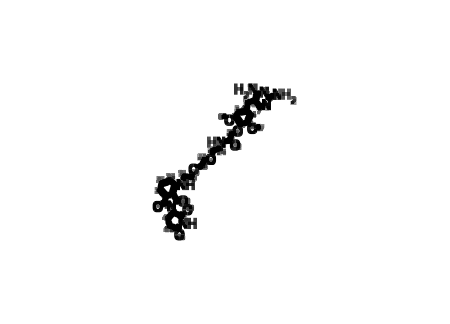 COc1cc(Cc2cnc(N)nc2N)cc(OC)c1OCC(=O)NCCOCCOCCNc1cccc2c1C(=O)N(C1CCC(=O)NC1=O)C2=O